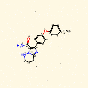 COc1ccc(Oc2ccc(-c3nc4n(c3C(N)=O)NCCC4)cc2)cc1